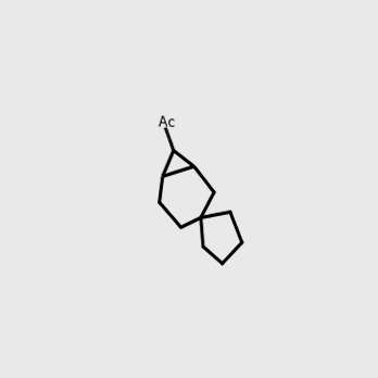 CC(=O)C1C2CCC3(CCCC3)CC21